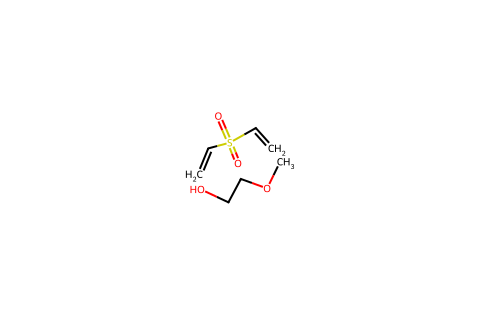 C=CS(=O)(=O)C=C.COCCO